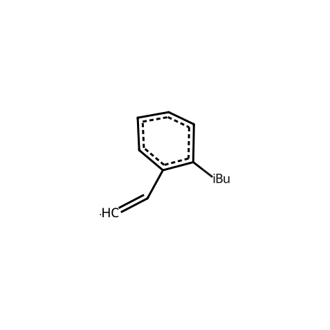 [CH]=Cc1ccccc1C(C)CC